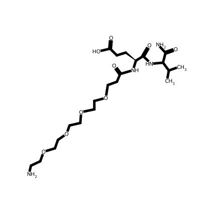 CC(C)C(NC(=O)[C@H](CCC(=O)O)NC(=O)CCOCCOCCOCCOCCN)C(N)=O